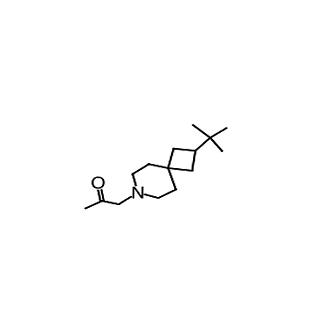 CC(=O)CN1CCC2(CC1)CC(C(C)(C)C)C2